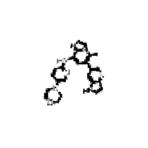 Cc1c(-c2cnc3cc[nH]c3c2)cc(Nc2ccc(N3CCOCC3)cn2)c2nccn12